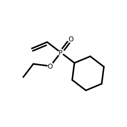 C=CP(=O)(OCC)C1CCCCC1